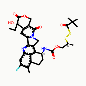 CC[C@@]1(O)C(=O)OCc2c1cc1n(c2=O)Cc2c-1nc1cc(F)c(C)c3c1c2[C@@H](NC(=O)OC[C@H](C)SSC(=O)C(C)(C)C)CC3